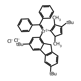 CC1=[C]([Zr+2](=[C](c2ccccc2)c2ccccc2)[c]2cc(C(C)(C)C)cc3c2Cc2ccc(C(C)(C)C)cc2-3)C(C)C=C1C(C)(C)C.[Cl-].[Cl-]